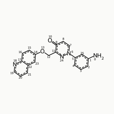 Nc1cccc(-n2ccc(=O)c(COc3ccc4ncccc4c3)n2)c1